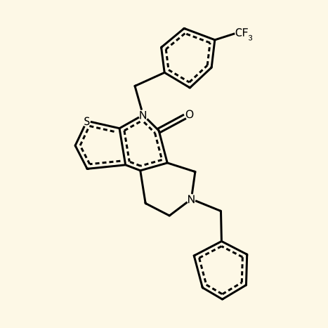 O=c1c2c(c3ccsc3n1Cc1ccc(C(F)(F)F)cc1)CCN(Cc1ccccc1)C2